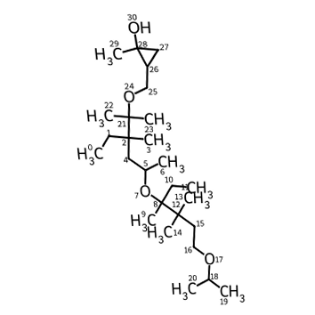 CCC(C)(CC(C)OC(C)(CC)C(C)(C)CCOC(C)C)C(C)(C)OCC1CC1(C)O